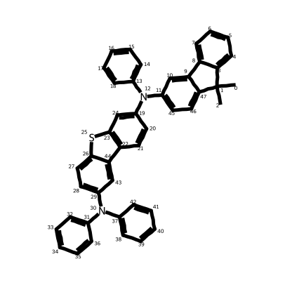 CC1(C)c2ccccc2-c2cc(N(c3ccccc3)c3ccc4c(c3)sc3ccc(N(c5ccccc5)c5ccccc5)cc34)ccc21